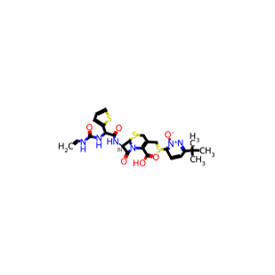 C=CNC(=O)NC(C(=O)N[C@H]1C(=O)N2C(C(=O)O)=C(CSc3ccc(C(C)(C)C)n[n+]3[O-])CSC12)c1cccs1